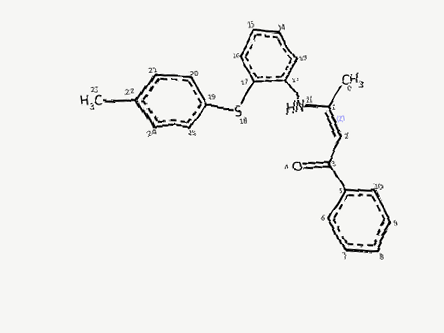 C/C(=C/C(=O)c1ccccc1)Nc1ccccc1Sc1ccc(C)cc1